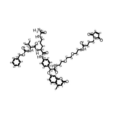 Cc1cc(=O)oc2cc(OC(C(=O)NCCOCCOCCNC(=O)CCCN3C(=O)C=CC3=O)c3ccc(NC(=O)C(CCCNC(N)=O)NC(=O)C(NC(=O)OCc4ccccc4)C(C)C)cc3)ccc12